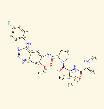 CN[C@@H](C)C(=O)N[C@H](C(=O)N1CCCC1C(=O)Nc1cc2c(Nc3ccc(F)cc3)ncnc2cc1OC)C(C)(C)C